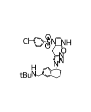 CC(C)(C)NCc1ccc2c(c1)CCC[C@H]2n1cc(CC2C(=O)NC=CN2S(=O)(=O)c2ccc(Cl)cc2)nn1